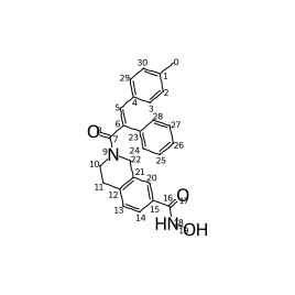 Cc1ccc(C=C(C(=O)N2CCc3ccc(C(=O)NO)cc3C2)c2ccccc2)cc1